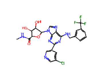 CNC(=O)[C@@H]1OC(n2cnc3c(NCc4cccc(C(F)(F)F)c4)nc(-c4cncc(Cl)c4)nc32)C(O)C1O